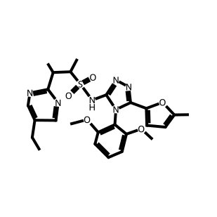 CCc1cnc(C(C)C(C)S(=O)(=O)Nc2nnc(-c3ccc(C)o3)n2-c2c(OC)cccc2OC)nc1